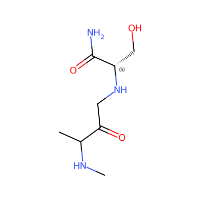 CNC(C)C(=O)CN[C@@H](CO)C(N)=O